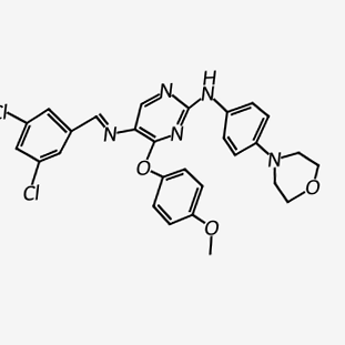 COc1ccc(Oc2nc(Nc3ccc(N4CCOCC4)cc3)ncc2N=Cc2cc(Cl)cc(Cl)c2)cc1